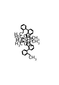 CCc1ccccc1-c1cccc2c1C=C1[CH]2[Hf]([CH3])([CH3])[CH]2C(=Cc3c(-c4ccccc4CC)cccc32)[Si]1(C(C)(C)C)C(C)(C)C